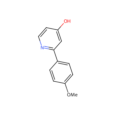 COc1ccc(-c2cc(O)ccn2)cc1